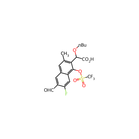 CCCCOC(C(=O)O)c1c(C)cc2cc(C=O)c(F)cc2c1OS(=O)(=O)C(F)(F)F